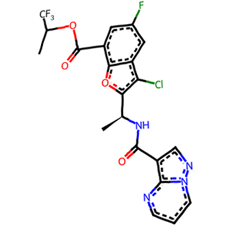 CC(OC(=O)c1cc(F)cc2c(Cl)c([C@H](C)NC(=O)c3cnn4cccnc34)oc12)C(F)(F)F